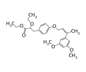 CCOC(=O)C(Cc1ccc(OCC=C(C)c2cc(OC)cc(OC)c2)cc1)OCC